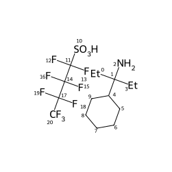 CCC(N)(CC)C1CCCCC1.O=S(=O)(O)C(F)(F)C(F)(F)C(F)(F)C(F)(F)F